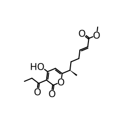 CCC(=O)c1c(O)cc([C@H](C)CC/C=C/C(=O)OC)oc1=O